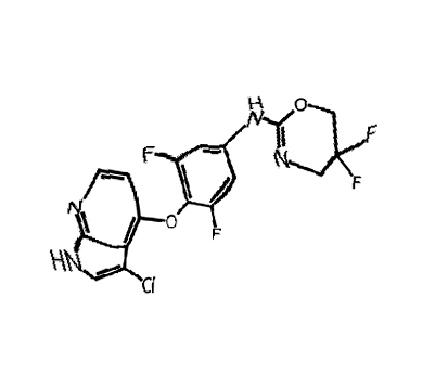 Fc1cc(NC2=NCC(F)(F)CO2)cc(F)c1Oc1ccnc2[nH]cc(Cl)c12